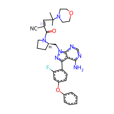 CC(C)(/C=C(/C#N)C(=O)N1CCC[C@@H]1Cn1nc(-c2ccc(Oc3ccccc3)cc2F)c2c(N)ncnc21)N1CCOCC1